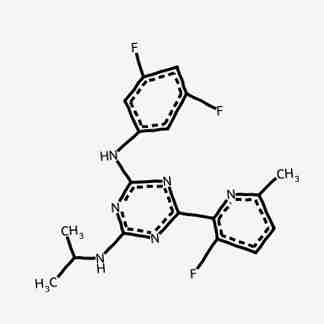 Cc1ccc(F)c(-c2nc(Nc3cc(F)cc(F)c3)nc(NC(C)C)n2)n1